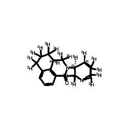 [2H]C1([2H])c2cccc3c2[C@@]([2H])(C([2H])([2H])N([C@]2([2H])C([2H])([2H])N4CC[C@]2([2H])C([2H])([2H])C4([2H])[2H])C3=O)C([2H])([2H])C1([2H])[2H]